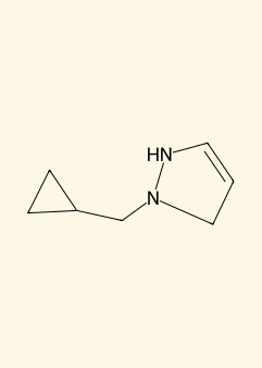 C1=CNN(CC2CC2)C1